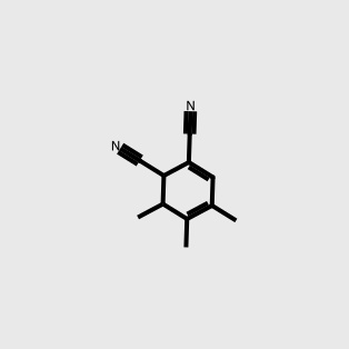 CC1=C(C)C(C)C(C#N)C(C#N)=C1